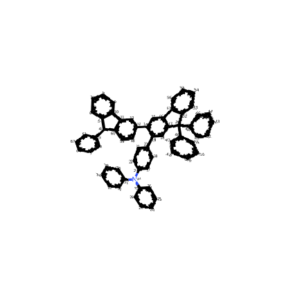 c1ccc(C2c3ccccc3-c3cc(-c4cc5c(cc4-c4ccc(N(c6ccccc6)c6ccccc6)cc4)C(c4ccccc4)(c4ccccc4)c4ccccc4-5)ccc32)cc1